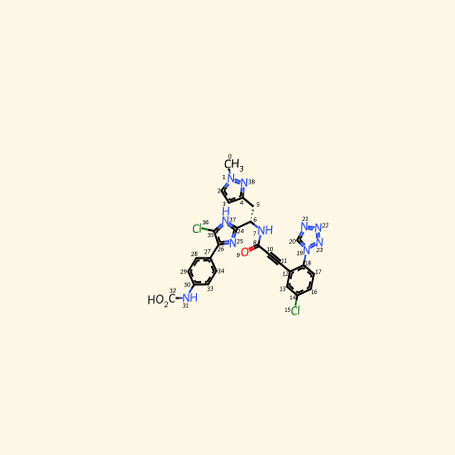 Cn1ccc(C[C@H](NC(=O)C#Cc2cc(Cl)ccc2-n2cnnn2)c2nc(-c3ccc(NC(=O)O)cc3)c(Cl)[nH]2)n1